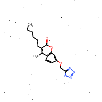 CCCCCCc1c(C)c2ccc(OCc3nnn[nH]3)cc2oc1=O